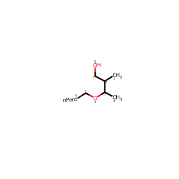 CCCCCCOC(C)C(C)CO